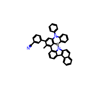 Cc1c(-c2cccc(C#N)c2)cc2c3c1-c1cccc4c5c6ccccc6ccc5n(c14)B3c1ccccc1N2c1ccccc1